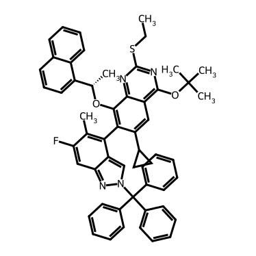 CCSc1nc(OC(C)(C)C)c2cc(C3CC3)c(-c3c(C)c(F)cc4nn(C(c5ccccc5)(c5ccccc5)c5ccccc5)cc34)c(O[C@@H](C)c3cccc4ccccc34)c2n1